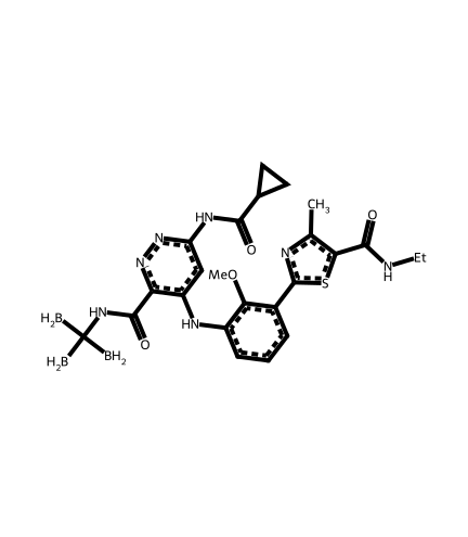 BC(B)(B)NC(=O)c1nnc(NC(=O)C2CC2)cc1Nc1cccc(-c2nc(C)c(C(=O)NCC)s2)c1OC